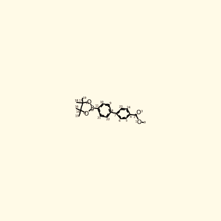 COC(=O)c1ccc(-c2ccc(B3OC(C)(C)C(C)(C)O3)cc2)cc1